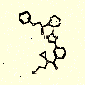 N#CCCN(C(=O)c1cccc(-c2n[nH]c([C@H]3CCCCN3C(=O)COc3ccccc3)n2)c1)C1CC1